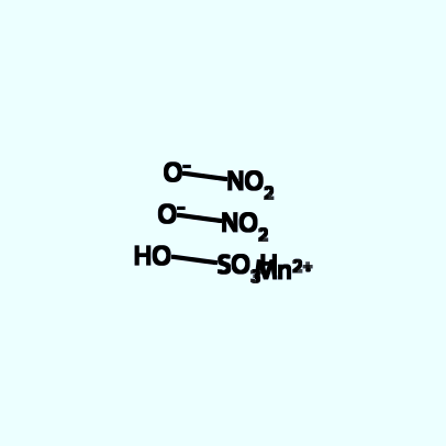 O=S(=O)(O)O.O=[N+]([O-])[O-].O=[N+]([O-])[O-].[Mn+2]